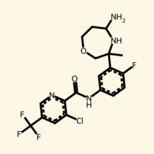 CC1(c2cc(NC(=O)c3ncc(C(F)(F)F)cc3Cl)ccc2F)COCCC(N)N1